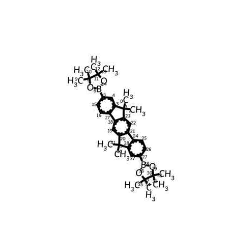 CC1(C)c2cc(B3OC(C)(C)C(C)(C)O3)ccc2-c2cc3c(cc21)-c1ccc(B2OC(C)(C)C(C)(C)O2)cc1C3(C)C